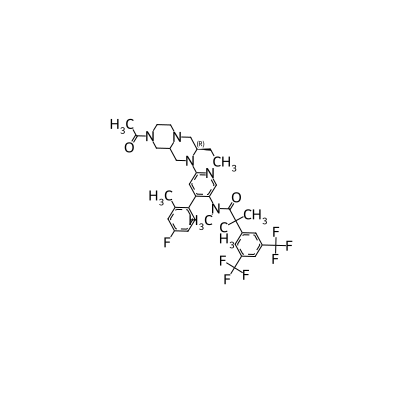 CC[C@@H]1CN2CCN(C(C)=O)CC2CN1c1cc(-c2ccc(F)cc2C)c(N(C)C(=O)C(C)(C)c2cc(C(F)(F)F)cc(C(F)(F)F)c2)cn1